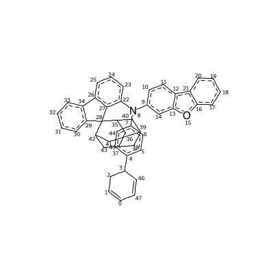 C1=CCC(c2ccc(N(c3ccc4c(c3)oc3ccccc34)c3cccc4c3C3(c5ccccc5-4)C4CC5CC(C4)CC3C5)cc2)C=C1